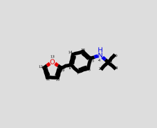 CC(C)(C)Nc1ccc(-c2ccco2)cc1